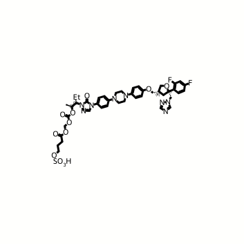 CC[C@@H]([C@H](C)OC(=O)OCOC(=O)CCCOS(=O)(=O)O)n1ncn(-c2ccc(N3CCN(c4ccc(OC[C@@H]5CO[C@@](Cn6cncn6)(c6ccc(F)cc6F)C5)cc4)CC3)cc2)c1=O